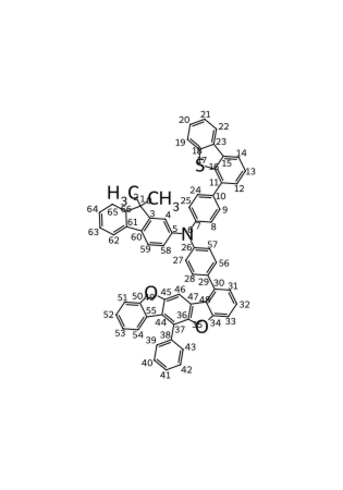 CC1(C)c2cc(N(c3ccc(-c4cccc5c4sc4ccccc45)cc3)c3ccc(-c4cccc5oc6c(-c7ccccc7)c7c(cc6c45)oc4ccccc47)cc3)ccc2C2=CC=CCC21